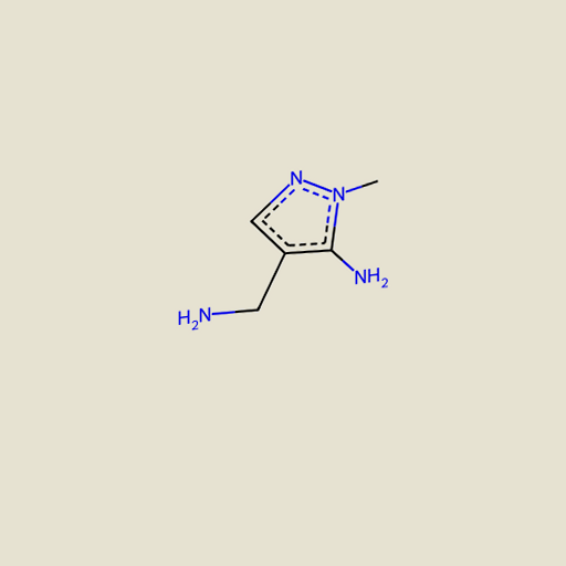 Cn1ncc(CN)c1N